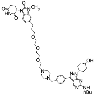 CCCCNc1ncc2c(-c3ccc(CN4CCN(CCOCCOCCOCCCc5ccc6c(c5)n(C)c(=O)n6[C@H]5CCC(=O)NC5=O)CC4)cc3)nn([C@H]3CC[C@H](O)CC3)c2n1